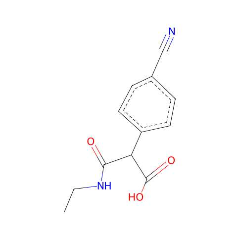 CCNC(=O)C(C(=O)O)c1ccc(C#N)cc1